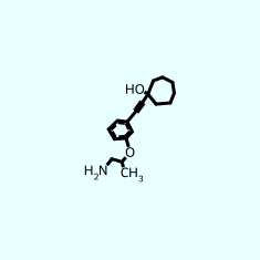 CC(CN)Oc1cccc(C#CC2(O)CCCCCC2)c1